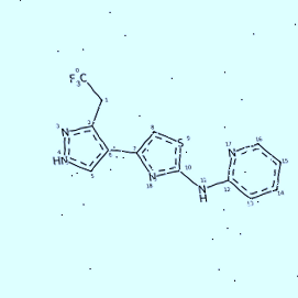 FC(F)(F)Cc1n[nH]cc1-c1csc(Nc2ccccn2)n1